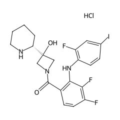 Cl.O=C(c1ccc(F)c(F)c1Nc1ccc(I)cc1F)N1CC(O)([C@H]2CCCCN2)C1